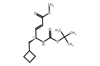 COC(=O)/C=C/[C@H](CC1CCC1)NC(=O)OC(C)(C)C